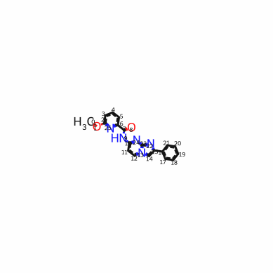 COc1cccc(C(=O)Nc2ccn3cc(-c4ccccc4)nc3n2)n1